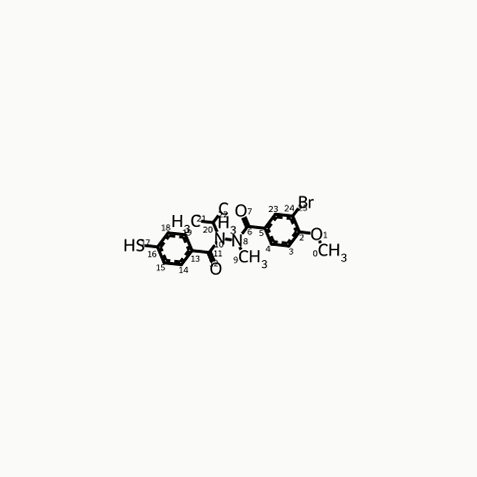 COc1ccc(C(=O)N(C)N(C(=O)c2ccc(S)cc2)C(C)C)cc1Br